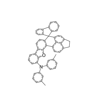 Cc1cccc(N(c2cccc(C)c2)c2cccc3c2oc2c4c(ccc23)C2(c3ccccc3-c3ccccc32)c2ccc3c5c(ccc-4c25)CC3)c1